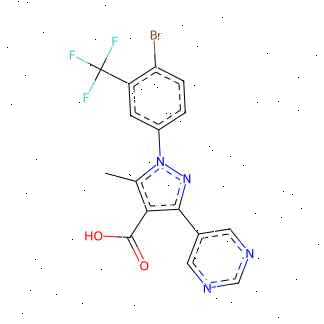 Cc1c(C(=O)O)c(-c2cncnc2)nn1-c1ccc(Br)c(C(F)(F)F)c1